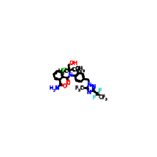 Cc1cc(Cn2nc(C(F)(F)C(F)(F)F)nc2C(F)(F)F)ccc1N(C(=O)c1c(Cl)cccc1C(N)=O)C(C)(C)CO